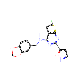 Clc1cc2c(NCc3ccc4c(c3)OCO4)nc(-c3ccno3)nc2s1